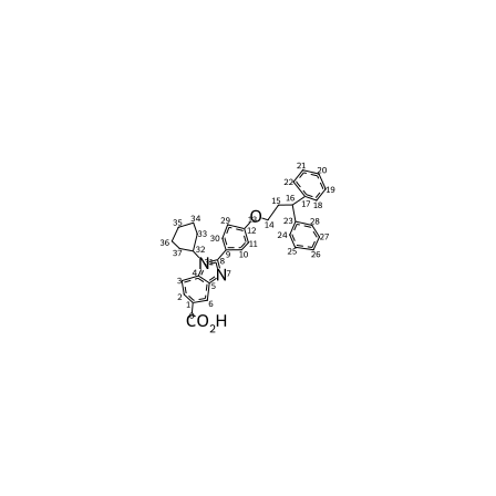 O=C(O)c1ccc2c(c1)nc(-c1ccc(OCCC(c3ccccc3)c3ccccc3)cc1)n2C1CCCCC1